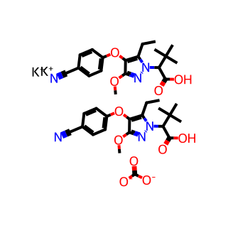 CCc1c(Oc2ccc(C#N)cc2)c(OC)nn1C(C(=O)O)C(C)(C)C.CCc1c(Oc2ccc(C#N)cc2)c(OC)nn1C(C(=O)O)C(C)(C)C.O=C([O-])[O-].[K+].[K+]